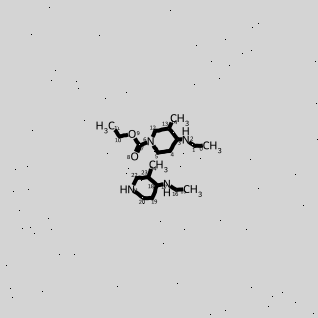 CCNC1CCN(C(=O)OCC)CC1C.CCNC1CCNCC1C